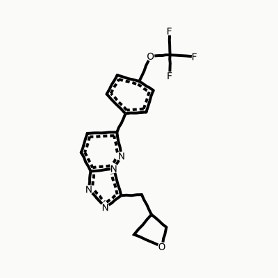 FC(F)(F)Oc1ccc(-c2ccc3nnc(CC4COC4)n3n2)cc1